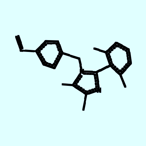 C=Cc1ccc(Cn2c(-c3c(C)cccc3C)nc(C)c2C)cc1